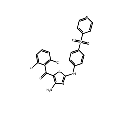 Nc1nc(Nc2ccc(S(=O)(=O)c3ccncc3)cc2)sc1C(=O)c1c(Cl)cccc1Cl